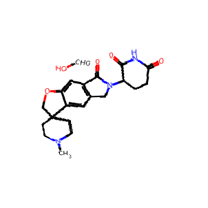 CN1CCC2(CC1)COc1cc3c(cc12)CN(C1CCC(=O)NC1=O)C3=O.O=CO